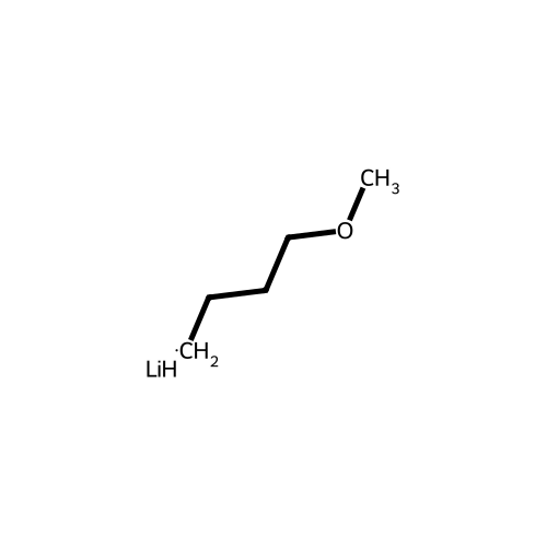 [CH2]CCCOC.[LiH]